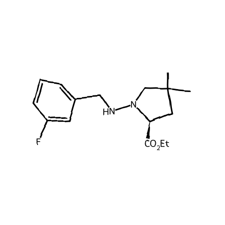 CCOC(=O)[C@@H]1CC(C)(C)CN1NCc1cccc(F)c1